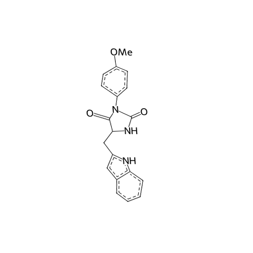 COc1ccc(N2C(=O)NC(Cc3cc4ccccc4[nH]3)C2=O)cc1